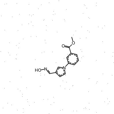 COC(=O)c1cccc(-n2ccc(C=NO)c2)c1